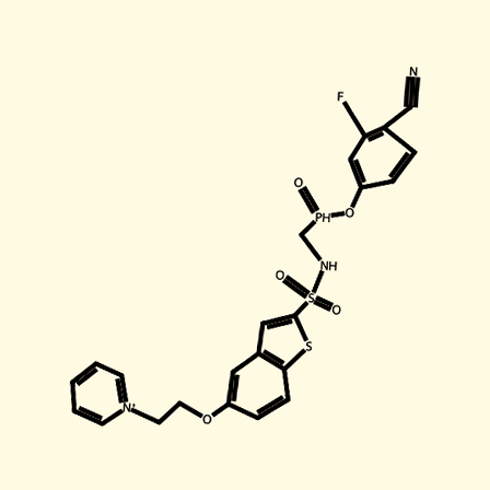 N#Cc1ccc(O[PH](=O)CNS(=O)(=O)c2cc3cc(OCC[n+]4ccccc4)ccc3s2)cc1F